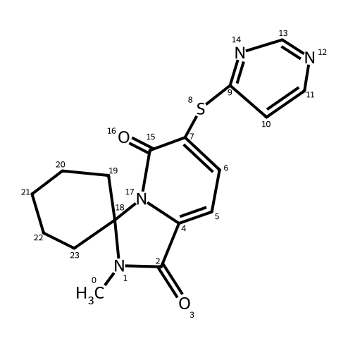 CN1C(=O)c2ccc(Sc3ccncn3)c(=O)n2C12CCCCC2